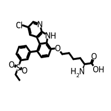 CCS(=O)(=O)c1cccc(-c2ccc(OCCCC[C@H](N)C(=O)O)c3[nH]c4ncc(Cl)cc4c23)c1